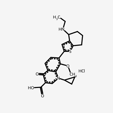 CCNC1CCCc2sc(-c3ccc4c(=O)c(C(=O)O)cn(C5CC5)c4c3OC)cc21.Cl